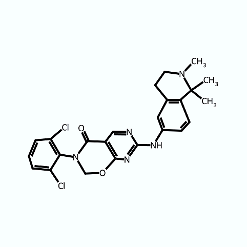 CN1CCc2cc(Nc3ncc4c(n3)OCN(c3c(Cl)cccc3Cl)C4=O)ccc2C1(C)C